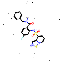 CN(Cc1ccccc1)C(=O)c1ccc(F)cc1NS(=O)(=O)C1=CC=CN2SNC=C12